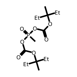 CCC(C)(CC)OC(=O)OP(C)(=O)OC(=O)OC(C)(CC)CC